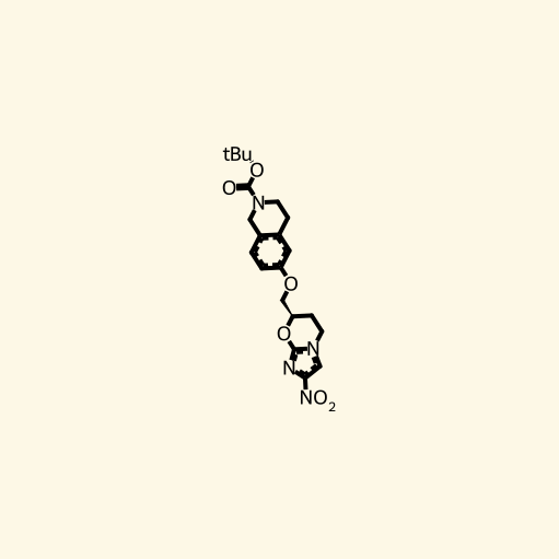 CC(C)(C)OC(=O)N1CCc2cc(OC[C@H]3CCn4cc([N+](=O)[O-])nc4O3)ccc2C1